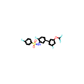 O=S(=O)(Nc1cc(-c2cc(F)cc(OC(F)F)c2)ccc1F)c1ccc(F)cc1